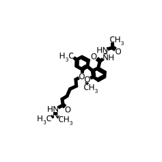 COc1cccc(C(=O)NNC(C)=O)c1-c1ccc(C)cc1OCCCCCC(=O)NN(C)C